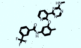 CNc1ncnc(-c2cccnc2Oc2cc(NC(=O)c3cccc(C(F)(F)F)c3)ccc2C)n1